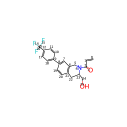 C=CC(=O)N1Cc2cc(-c3ccc(C(F)(F)F)cc3)ccc2CC1CO